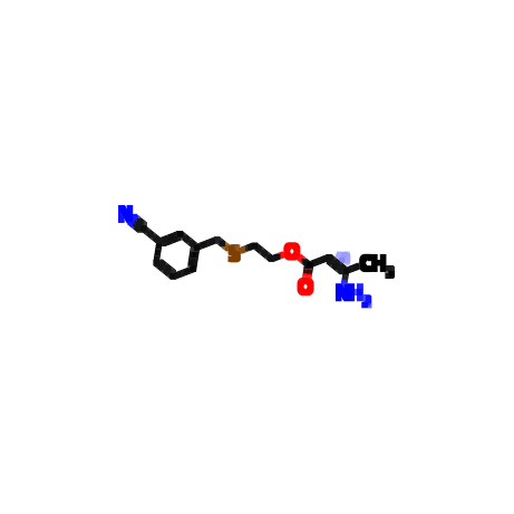 C/C(N)=C/C(=O)OCCSCc1cccc(C#N)c1